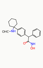 O=CNC1(c2ccc(C(C(=O)NO)c3ccccc3)cc2)CCCCC1